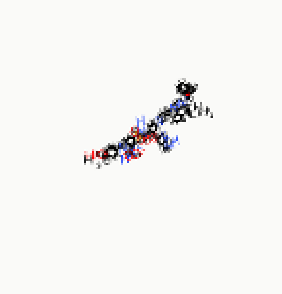 CC(C)c1ccccc1[C@@H]1CN(CC2C3CC4CC(C3)CC2C4)CCN1C1CC2(CCN(c3ccc(C(=O)NS(=O)(=O)c4ccc(NCC5CCC(C)(O)CC5)c([N+](=O)[O-])c4)c(Oc4cnc5[nH]ccc5c4)c3)CC2)C1